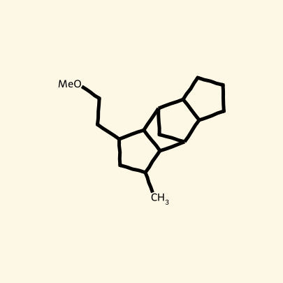 COCCC1CC(C)C2C3CC(C4CCCC43)C12